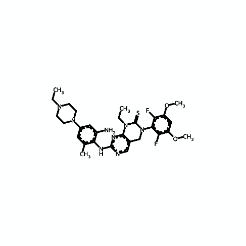 CCN1CCN(c2cc(C)c(Nc3ncc4c(n3)N(CC)C(=S)N(c3c(F)c(OC)cc(OC)c3F)C4)c(N)c2)CC1